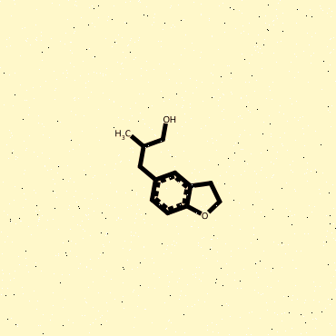 CC(CO)Cc1ccc2c(c1)CCO2